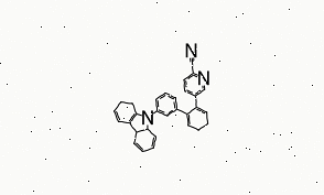 N#Cc1ccc(C2=CCCC=C2c2cccc(N3C4=C(C=CCC4)C4C=CC=CC43)c2)cn1